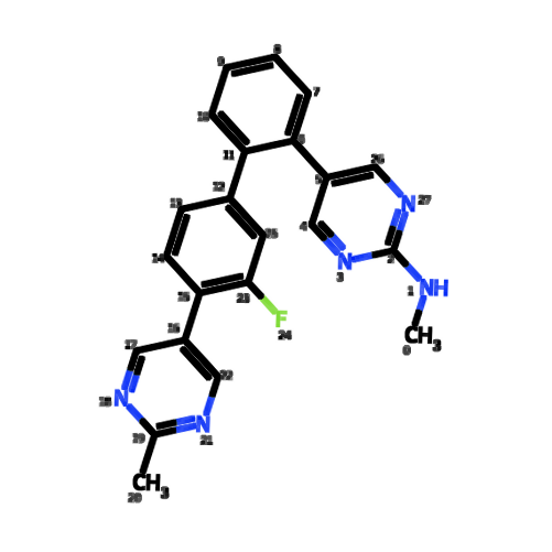 CNc1ncc(-c2ccccc2-c2ccc(-c3cnc(C)nc3)c(F)c2)cn1